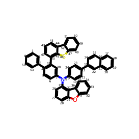 c1ccc(-c2ccc(N(c3ccc(-c4ccc5ccccc5c4)cc3)c3cccc4oc5ccccc5c34)cc2-c2cccc3c2sc2ccccc23)cc1